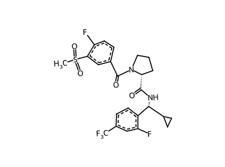 CS(=O)(=O)c1cc(C(=O)N2CCC[C@@H]2C(=O)N[C@@H](c2ccc(C(F)(F)F)cc2F)C2CC2)ccc1F